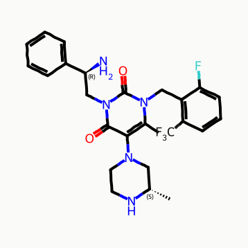 Cc1c(N2CCN[C@@H](C)C2)c(=O)n(C[C@H](N)c2ccccc2)c(=O)n1Cc1c(F)cccc1C(F)(F)F